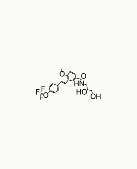 COc1ccc(C(=O)NC[C@H](O)CO)cc1/C=C/c1ccc(OC(F)(F)F)cc1